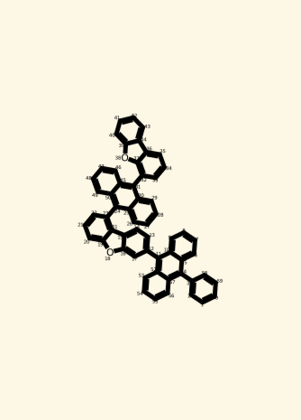 c1ccc(-c2c3ccccc3c(-c3ccc4c(c3)oc3cccc(-c5c6ccccc6c(-c6cccc7c6oc6ccccc67)c6ccccc56)c34)c3ccccc23)cc1